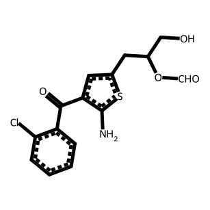 Nc1sc(CC(CO)OC=O)cc1C(=O)c1ccccc1Cl